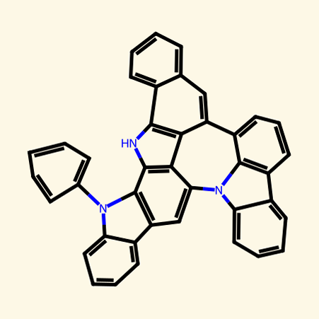 c1ccc(-n2c3ccccc3c3cc4c5c([nH]c6c7ccccc7cc(c7cccc8c9ccccc9n4c78)c65)c32)cc1